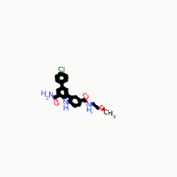 COCCNC(=O)C1CCc2[nH]c3c(C(N)=O)cc(-c4ccc(Cl)cc4)cc3c2C1